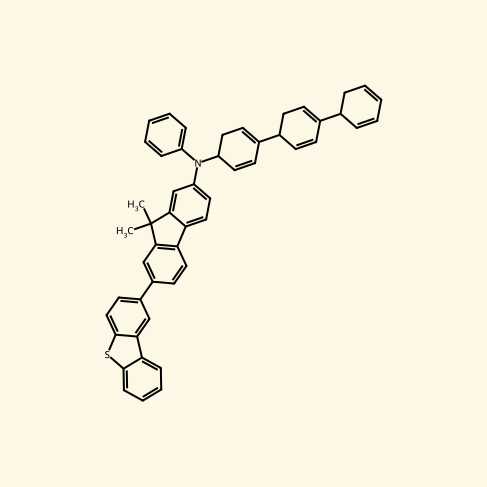 CC1(C)c2cc(-c3ccc4sc5ccccc5c4c3)ccc2-c2ccc(N(c3ccccc3)C3C=CC(C4C=CC(C5C=CC=CC5)=CC4)=CC3)cc21